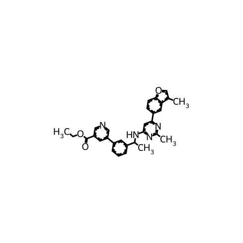 CCOC(=O)c1cncc(-c2cccc(C(C)Nc3cc(-c4ccc5occ(C)c5c4)nc(C)n3)c2)c1